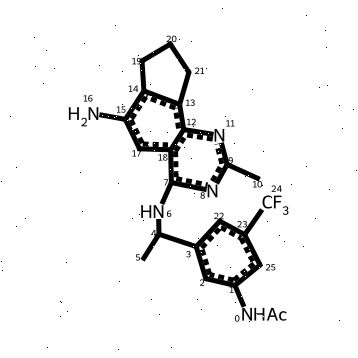 CC(=O)Nc1cc(C(C)Nc2nc(C)nc3c4c(c(N)cc23)CCC4)cc(C(F)(F)F)c1